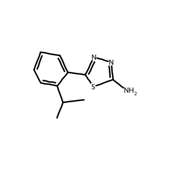 CC(C)c1ccccc1-c1nnc(N)s1